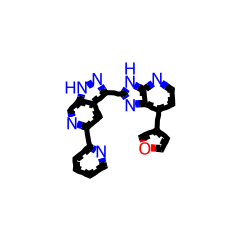 c1ccc(-c2cc3c(-c4nc5c(-c6ccoc6)ccnc5[nH]4)n[nH]c3cn2)nc1